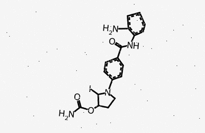 NC(=O)OC1CCN(c2ccc(C(=O)Nc3ccccc3N)cc2)C1I